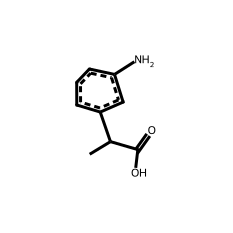 CC(C(=O)O)c1cccc(N)c1